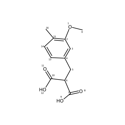 COc1cc(CC(C(=O)O)C(=O)O)ccc1C